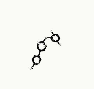 Nc1ccc(-c2cnc(Oc3cc(F)ccc3F)nc2)cn1